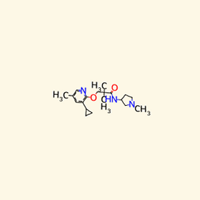 Cc1cnc(OCC(C)(C)C(=O)NC2CCN(C)C2)c(C2CC2)c1